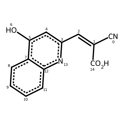 N#CC(=Cc1cc(O)c2ccccc2n1)C(=O)O